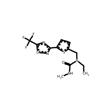 CCN(Cc1ccc(-c2noc(C(F)(F)F)n2)s1)C(=O)NC